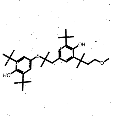 COCCC(C)(C)c1cc(CC(C)(C)Sc2cc(C(C)(C)C)c(O)c(C(C)(C)C)c2)cc(C(C)(C)C)c1O